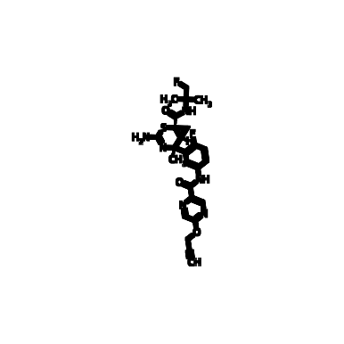 C#CCOc1cnc(C(=O)Nc2ccc(F)c([C@@]3(C)N=C(N)S[C@@]4(C(=O)NC(C)(C)CF)C[C@H]43)c2)cn1